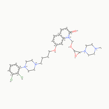 CN1CCN(C2OC2OCn2c(=O)ccc3ccc(OCCCCN4CCN(c5cccc(Cl)c5Cl)CC4)cc32)CC1